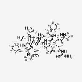 C[C@H](NC(=O)[C@H](CC(N)=O)NC(=O)[C@H](Cc1ccccc1)NC(=O)[C@@H](Cc1ccccc1)NC(=O)[C@@H](CCCNC(=N)N)NC(=O)[C@@H]1CCCN1)C(=O)N[C@@H](Cc1ccccc1)C(=O)N1CCC[C@@H]1C(=O)O